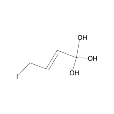 OC(O)(O)C=CCI